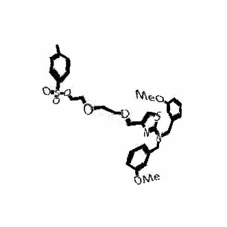 COc1cccc(CN(Cc2cccc(OC)c2)c2nc(COCCOCCOS(=O)(=O)c3ccc(C)cc3)cs2)c1